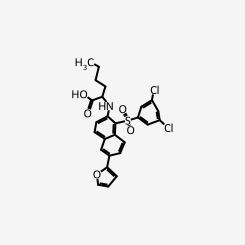 CCCCC(Nc1ccc2cc(-c3ccco3)ccc2c1S(=O)(=O)c1cc(Cl)cc(Cl)c1)C(=O)O